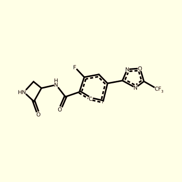 O=C(NC1CNC1=O)c1ccc(-c2noc(C(F)(F)F)n2)cc1F